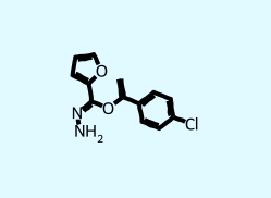 C=C(O/C(=N\N)c1ccco1)c1ccc(Cl)cc1